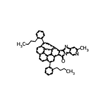 CCCCc1ccccc1-c1cc2c3c(=O)n4c5cnc(C)cc5nc4c3c3cc(-c4ccccc4CCCC)c4ccc5ccc1c1c5c4c3c21